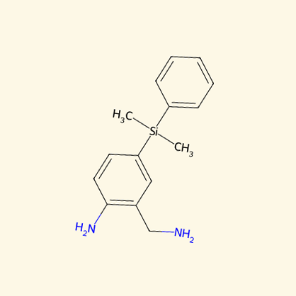 C[Si](C)(c1ccccc1)c1ccc(N)c(CN)c1